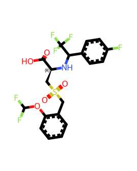 O=C(O)[C@H](CS(=O)(=O)Cc1ccccc1OC(F)F)NC(c1ccc(F)cc1)C(F)(F)F